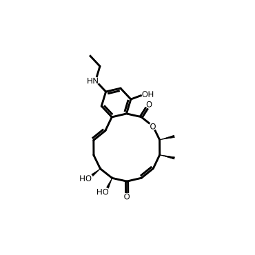 CCNc1cc(O)c2c(c1)/C=C/C[C@H](O)[C@H](O)C(=O)/C=C\[C@H](C)[C@H](C)OC2=O